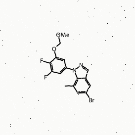 COCOc1cc(-n2ncc3cc(Br)cc(C)c32)cc(F)c1F